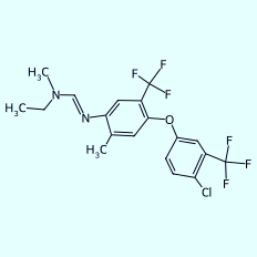 CCN(C)C=Nc1cc(C(F)(F)F)c(Oc2ccc(Cl)c(C(F)(F)F)c2)cc1C